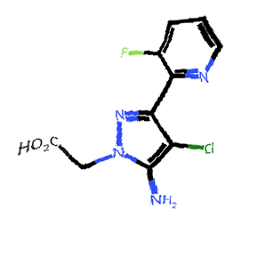 Nc1c(Cl)c(-c2ncccc2F)nn1CC(=O)O